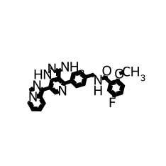 COc1ccc(F)cc1C(=O)NCc1ccc(-c2ncc(-c3ncn4ccccc34)c3[nH]nc(N)c23)cc1